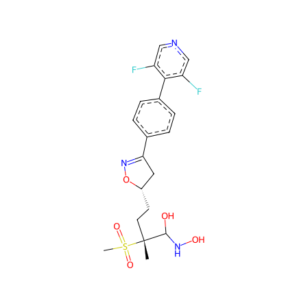 C[C@@](CC[C@H]1CC(c2ccc(-c3c(F)cncc3F)cc2)=NO1)(C(O)NO)S(C)(=O)=O